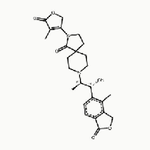 CC1=C(N2CCC3(CCN([C@H](C)[C@H](O)c4ccc5c(c4C)COC5=O)CC3)C2=O)COC1=O